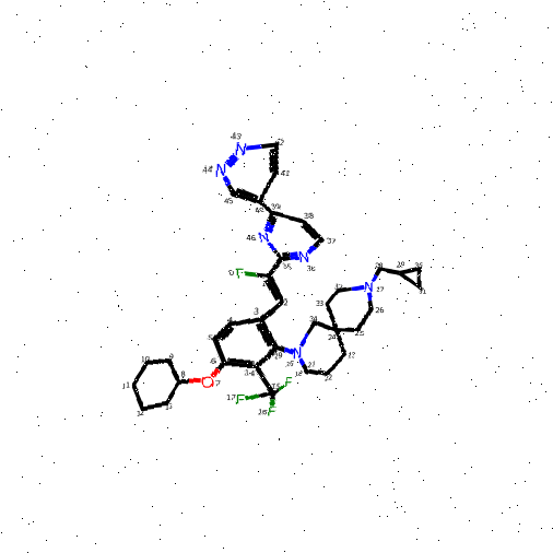 F/C(=C\c1ccc(OC2CCCCC2)c(C(F)(F)F)c1N1CCCC2(CCN(CC3CC3)CC2)C1)c1nccc(-c2ccnnc2)n1